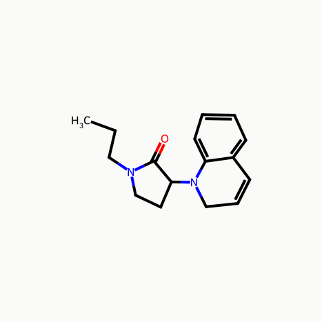 CCCN1CCC(N2CC=Cc3ccccc32)C1=O